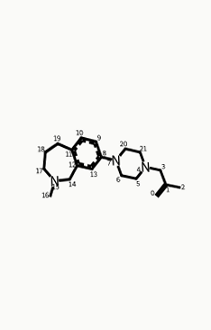 C=C(C)CN1CCN(c2ccc3c(c2)CN(C)CCC3)CC1